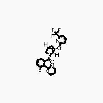 O=C(c1cccc(F)c1-c1ncccn1)N1C[C@H]2C[C@@H](Oc3cccc(C(F)(F)F)n3)[C@@H]1C2